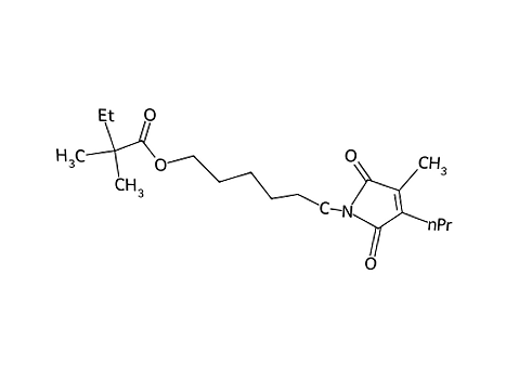 CCCC1=C(C)C(=O)N(CCCCCCOC(=O)C(C)(C)CC)C1=O